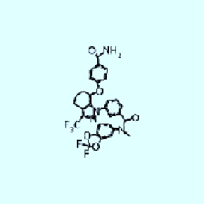 CN(C(=O)c1cccc(-n2nc(C(F)(F)F)c3c2C(Oc2ccc(C(N)=O)cc2)CCC3)c1)c1ccc2c(c1)OC(F)(F)O2